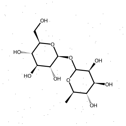 C[C@H]1OC(O[C@@H]2O[C@H](CO)[C@@H](O)[C@H](O)[C@H]2O)[C@@H](O)[C@@H](O)[C@@H]1O